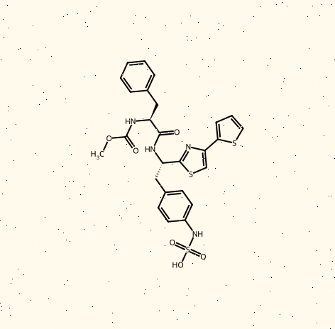 COC(=O)N[C@@H](Cc1ccccc1)C(=O)N[C@@H](Cc1ccc(NS(=O)(=O)O)cc1)c1nc(-c2cccs2)cs1